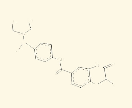 CCN(CC)[S+]([O-])c1ccc(NC(=O)c2ccc3c(c2)NC(=O)C(C)S3)cc1